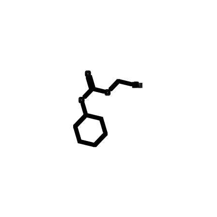 CC(C)(C)COC(=O)OC1CCCCC1